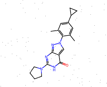 Cc1cc(C2CC2)cc(C)c1-n1cc2c(=O)[nH]c(N3CCCC3)nc2n1